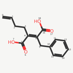 C=CCC/C(C(=O)O)=C(/Cc1ccccc1)C(=O)O